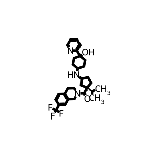 CC(C)[C@]1(C(=O)N2CCc3ccc(C(F)(F)F)cc3C2)CCC(NC2CCC(O)(c3ccccn3)CC2)C1